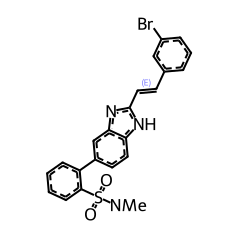 CNS(=O)(=O)c1ccccc1-c1ccc2[nH]c(/C=C/c3cccc(Br)c3)nc2c1